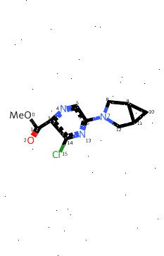 COC(=O)c1ncc(N2CC3CC3C2)nc1Cl